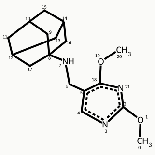 COc1ncc(CNC23CC4CC(CC(C4)C2)C3)c(OC)n1